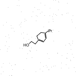 CC(C)C1=CC=C(CCO)CC1